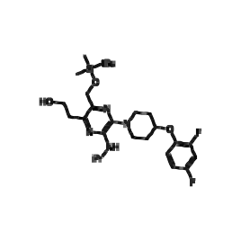 CC(C)Nc1nc(CCO)c(CO[Si](C)(C)C(C)(C)C)nc1N1CCC(Oc2ccc(F)cc2F)CC1